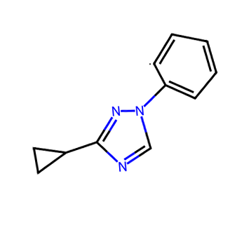 [c]1ccccc1-n1cnc(C2CC2)n1